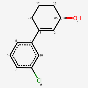 O[C@H]1C=C(c2cccc(Cl)c2)CCC1